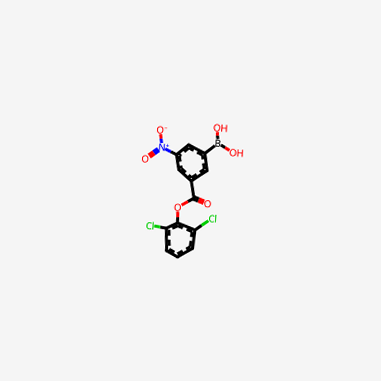 O=C(Oc1c(Cl)cccc1Cl)c1cc(B(O)O)cc([N+](=O)[O-])c1